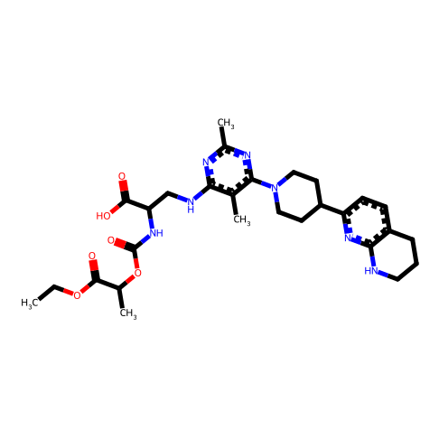 CCOC(=O)C(C)OC(=O)NC(CNc1nc(C)nc(N2CCC(c3ccc4c(n3)NCCC4)CC2)c1C)C(=O)O